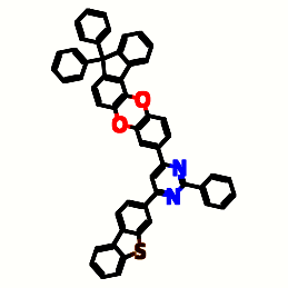 c1ccc(-c2nc(-c3ccc4c(c3)Oc3ccc5c(c3O4)-c3ccccc3C5(c3ccccc3)c3ccccc3)cc(-c3ccc4c(c3)sc3ccccc34)n2)cc1